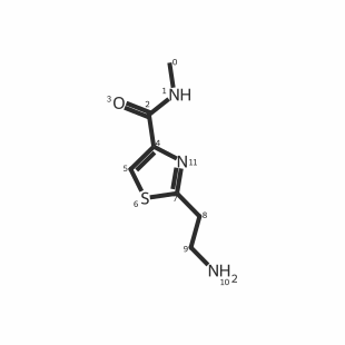 CNC(=O)c1csc(CCN)n1